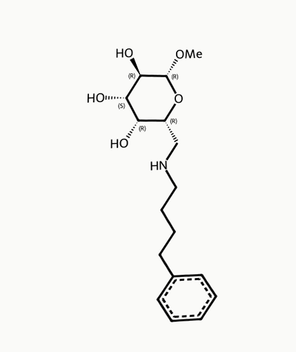 CO[C@@H]1O[C@H](CNCCCCc2ccccc2)[C@H](O)[C@H](O)[C@H]1O